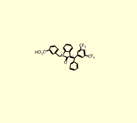 O=C(O)c1cccc(CN2C(=O)/C(=C(\c3ccccc3)c3cc(C(F)(F)F)cc(C(F)(F)F)c3)c3ccccc32)c1